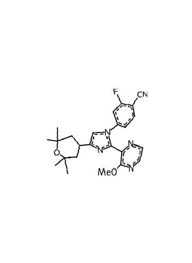 COc1nccnc1-c1nc(C2CC(C)(C)OC(C)(C)C2)cn1-c1ccc(C#N)c(F)c1